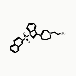 CC(C)(C)CCN1CC=C(c2cn(S(=O)(=O)c3ccc4ccccc4c3)c3ccccc23)CCC1